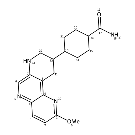 COc1ccc2ncc3c(c2n1)CC(C1CCC(C(N)=O)CC1)CN3